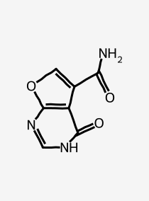 NC(=O)c1coc2nc[nH]c(=O)c12